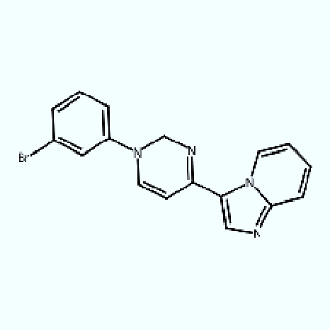 Brc1cccc(N2C=CC(c3cnc4ccccn34)=NC2)c1